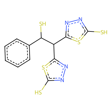 Sc1nnc(C(c2nnc(S)s2)C(S)c2ccccc2)s1